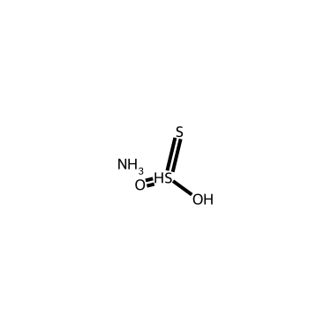 N.O=[SH](O)=S